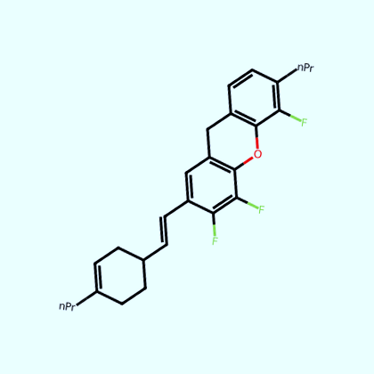 CCCC1=CCC(/C=C/c2cc3c(c(F)c2F)Oc2c(ccc(CCC)c2F)C3)CC1